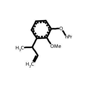 C=C[C](C)c1cccc(OCCC)c1OC